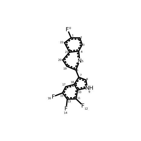 Fc1ccc2nc(-c3c[nH]c4c(F)c(F)c(F)cc34)ccc2c1